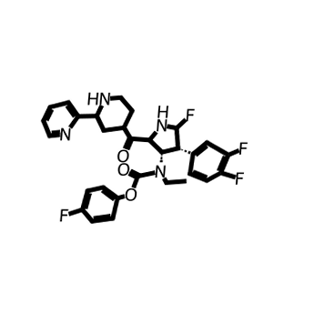 CCN(C(=O)Oc1ccc(F)cc1)[C@@H]1C(C(=O)C2CCNC(c3ccccn3)C2)NC(F)[C@@H]1c1ccc(F)c(F)c1